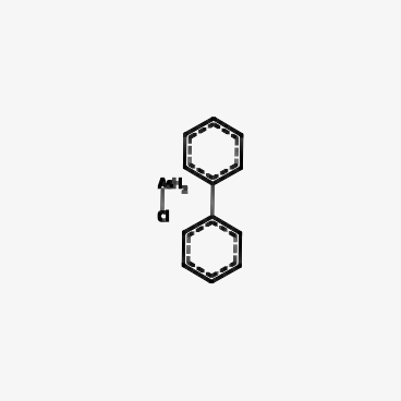 Cl[AsH2].c1ccc(-c2ccccc2)cc1